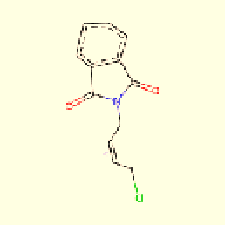 O=C1c2ccccc2C(=O)N1C/C=C\CCl